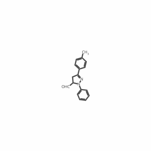 Cc1ccc(C2=NN(c3ccccc3)C(C=O)C2)cc1